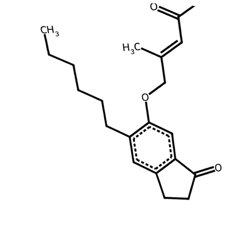 CCCCCCc1cc2c(cc1OC/C(C)=C/C(=O)O)C(=O)CC2